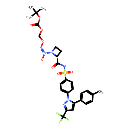 Cc1ccc(-c2cc(C(F)(F)F)nn2-c2ccc(S(=O)(=O)NC(=O)[C@@H]3CCN3/[N+]([O-])=N\OCOC(=O)OC(C)(C)C)cc2)cc1